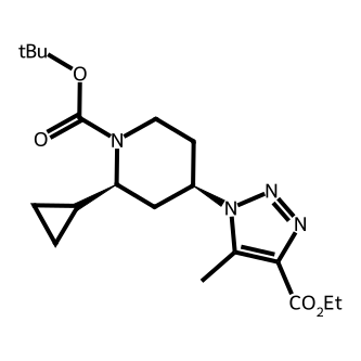 CCOC(=O)c1nnn([C@@H]2CCN(C(=O)OC(C)(C)C)[C@H](C3CC3)C2)c1C